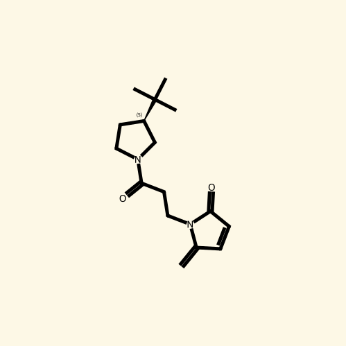 C=C1C=CC(=O)N1CCC(=O)N1CC[C@@H](C(C)(C)C)C1